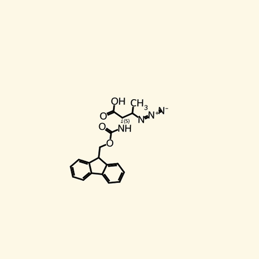 CC(N=[N+]=[N-])[C@H](NC(=O)OCC1c2ccccc2-c2ccccc21)C(=O)O